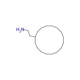 NCCC1CCCCCCCCCCCCCCC1